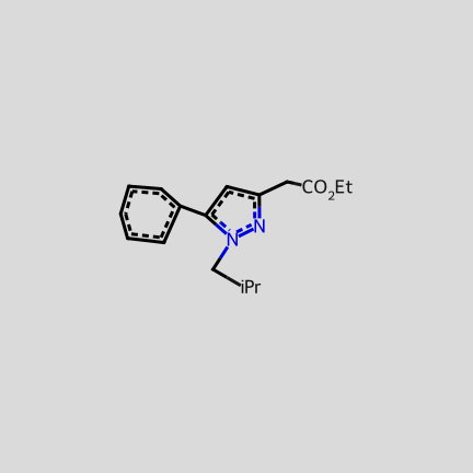 CCOC(=O)Cc1cc(-c2ccccc2)n(CC(C)C)n1